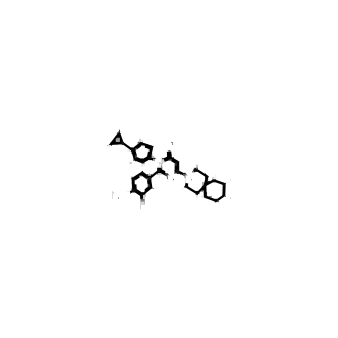 N#Cc1ccc(-c2nc(N3CCC4(CCCCC4)CC3)cc(=O)n2-c2ccc(C3CC3)cc2)cc1F